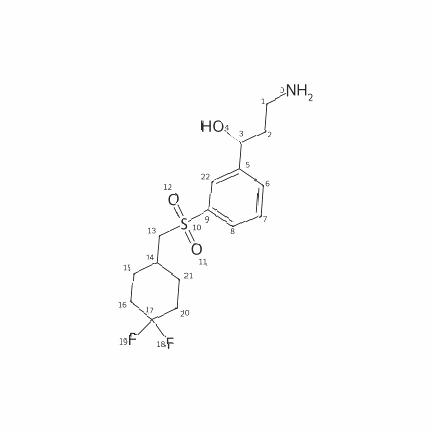 NCCC(O)c1cccc(S(=O)(=O)CC2CCC(F)(F)CC2)c1